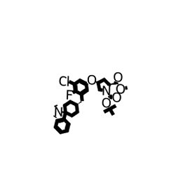 COC(=O)[C@@H]1C[C@H](Oc2cc(Cl)c(F)c(C[C@H]3CC[C@](c4ccccc4)(N(C)C)CC3)c2)CN1C(=O)OC(C)(C)C